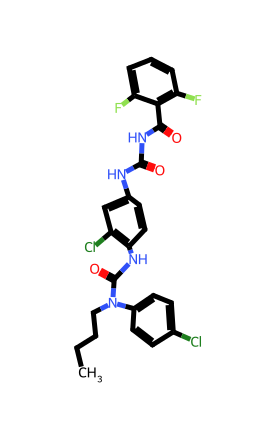 CCCCN(C(=O)Nc1ccc(NC(=O)NC(=O)c2c(F)cccc2F)cc1Cl)c1ccc(Cl)cc1